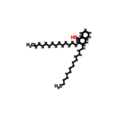 CCCCCCCCCCCCCCc1cc2ccccc2c(O)c1CCCCCCCCCCCCCC